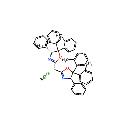 Cc1ccccc1C1(c2ccccc2C)OC(CC2=N[C@H](c3ccccc3)C(c3ccccc3C)(c3ccccc3C)O2)=N[C@@H]1c1ccccc1.[Cl-].[Cl-].[Ni+2]